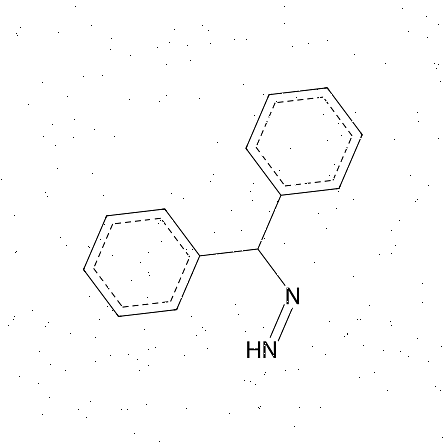 N=NC(c1ccccc1)c1ccccc1